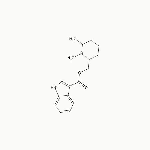 CC1CCCC(COC(=O)c2c[nH]c3ccccc23)N1C